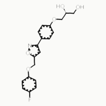 OC[C@H](O)COc1ccc(-c2cc(COc3ccc(F)cc3)on2)cc1